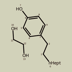 CCCCCCCCCc1ccc(O)cc1.OCCO